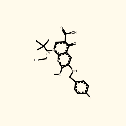 COc1nc2c(cc1NCc1ccc(F)cc1)c(=O)c(C(=O)O)cn2[C@H](CO)C(C)(C)C